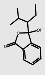 CCC(C(C)C)C1(O)OC(=O)c2ccccc21